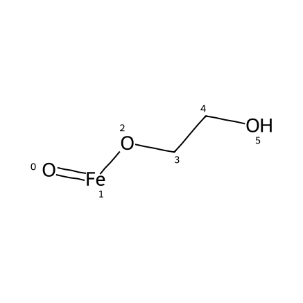 [O]=[Fe][O]CCO